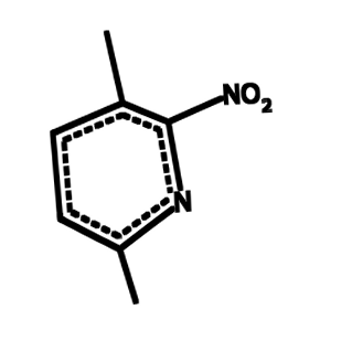 Cc1ccc(C)c([N+](=O)[O-])n1